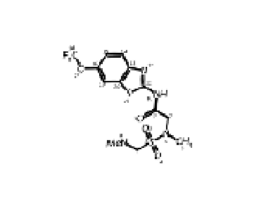 CNCS(=O)(=O)N(C)CC(=O)Nc1nc2ccc(OC(F)(F)F)cc2s1